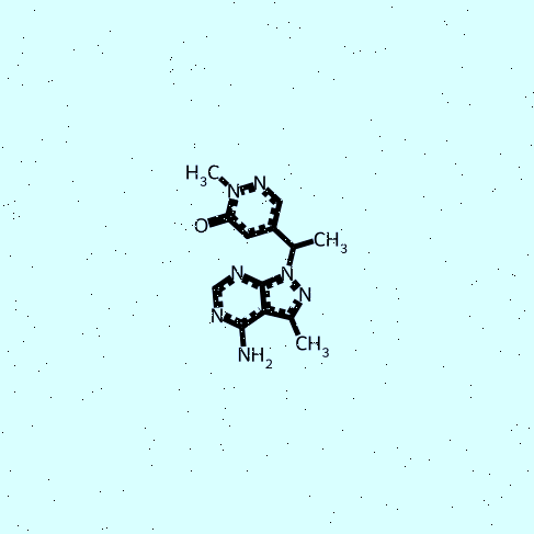 Cc1nn(C(C)c2cnn(C)c(=O)c2)c2ncnc(N)c12